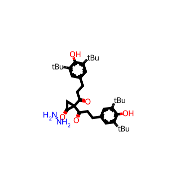 CC(C)(C)c1cc(CCC(=O)C2(C(=O)CCc3cc(C(C)(C)C)c(O)c(C(C)(C)C)c3)CC2=O)cc(C(C)(C)C)c1O.NN